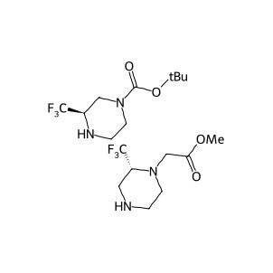 CC(C)(C)OC(=O)N1CCN[C@@H](C(F)(F)F)C1.COC(=O)CN1CCNC[C@@H]1C(F)(F)F